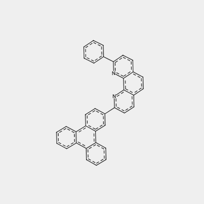 c1ccc(-c2ccc3ccc4ccc(-c5ccc6c7ccccc7c7ccccc7c6c5)nc4c3n2)cc1